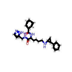 O=C(NC(CCCCNC1CC1c1ccccc1)C(=O)NCc1ccn[nH]1)c1ccccc1